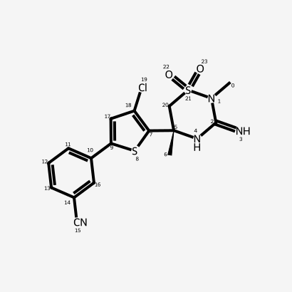 CN1C(=N)N[C@](C)(c2sc(-c3cccc(C#N)c3)cc2Cl)CS1(=O)=O